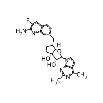 Cc1nc(C)c2ccn([C@@H]3O[C@@H]4[C@H](Cc5ccc6cc(F)c(N)nc6c5)CC[C@]4(O)[C@H]3O)c2n1